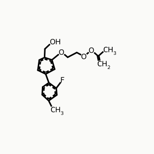 C=C(C)OOCCOc1cc(-c2ccc(C)cc2F)ccc1CO